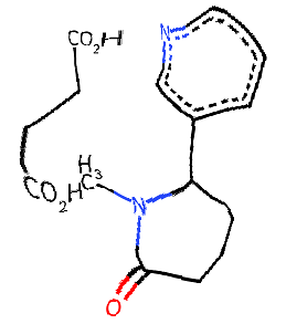 CN1C(=O)CCC1c1cccnc1.O=C(O)CCC(=O)O